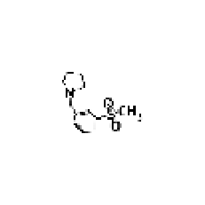 CS(=O)(=O)c1cccc(CN2CCCC2)c1